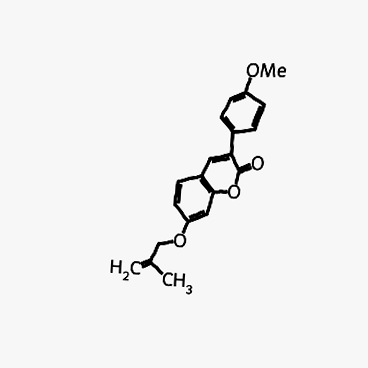 C=C(C)COc1ccc2cc(-c3ccc(OC)cc3)c(=O)oc2c1